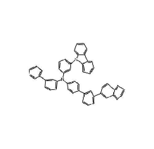 c1ccc(-c2cccc(N(c3ccc(-c4cccc(-c5ccc6ccccc6c5)c4)cc3)c3cccc(-n4c5ccccc5c5ccccc54)c3)c2)cc1